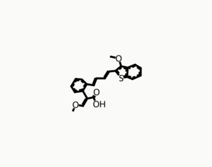 CO/C=C(/C(=O)O)c1ccccc1/C=C/C=C/c1sc2ccccc2c1OC